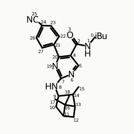 CCC(C)NC(=O)c1cnc(NC2CC3CC(C2C)C3(C)C)nc1-c1ccc(C#N)cc1